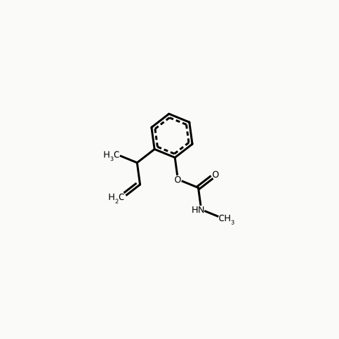 C=CC(C)c1ccccc1OC(=O)NC